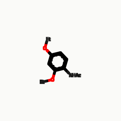 CCOc1ccc(NC(C)=O)c(OCC)c1